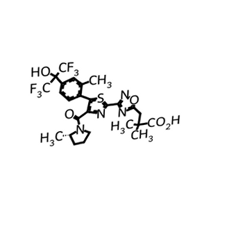 Cc1cc(C(O)(C(F)(F)F)C(F)(F)F)ccc1-c1sc(-c2noc(CC(C)(C)C(=O)O)n2)nc1C(=O)N1CCC[C@@H]1C